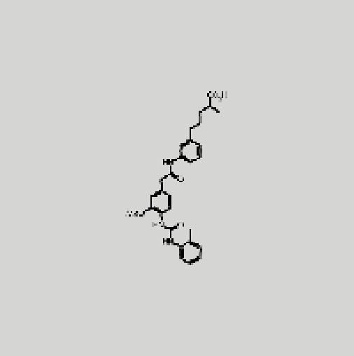 COc1cc(CC(=O)Nc2cccc(CCCC(C)C(=O)O)c2)ccc1NC(=O)Nc1ccccc1C